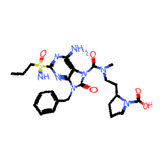 CCCS(=N)(=O)c1nc(N)c2c(n1)n(Cc1ccccc1)c(=O)n2C(=O)N(C)CCC1CCCN1C(=O)O